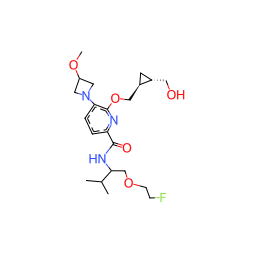 COC1CN(c2ccc(C(=O)NC(COCCF)C(C)C)nc2OC[C@H]2C[C@@H]2CO)C1